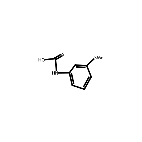 CSc1cccc(NC(O)=S)c1